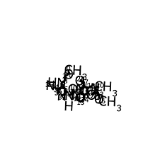 COCCNc1cc(NC(=O)N2CCCc3cc(CN(C)C(=O)COC)c(C=O)nc32)ncc1C#N